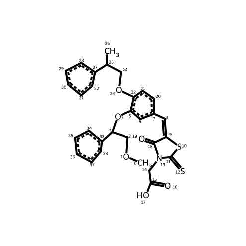 COCC(Oc1cc(C=C2SC(=S)N(CC(=O)O)C2=O)ccc1OCC(C)c1ccccc1)c1ccccc1